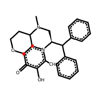 CN(C[C@@H](C(c1ccccc1)c1ccccc1)n1ncc(=O)c(O)c1C=O)C1CCOCC1